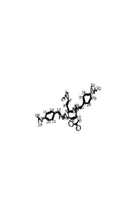 CC(=O)[O-].CN(C)C=Cc1n(N=Cc2ccc(N(C)C)cc2)cc[n+]1N=Cc1ccc(N(C)C)cc1